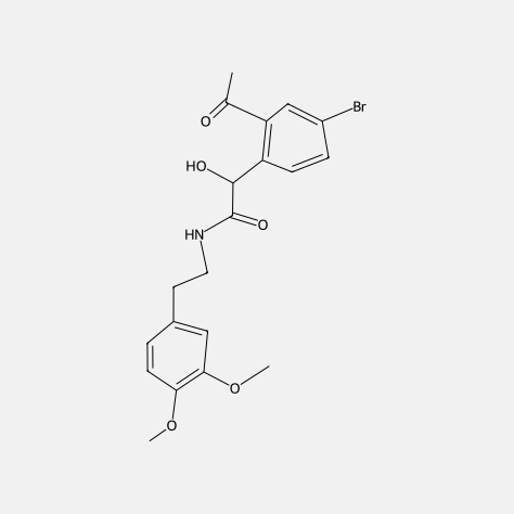 COc1ccc(CCNC(=O)C(O)c2ccc(Br)cc2C(C)=O)cc1OC